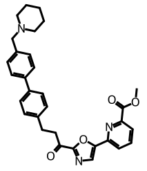 COC(=O)c1cccc(-c2cnc(C(=O)CCc3ccc(-c4ccc(CN5CCCCC5)cc4)cc3)o2)n1